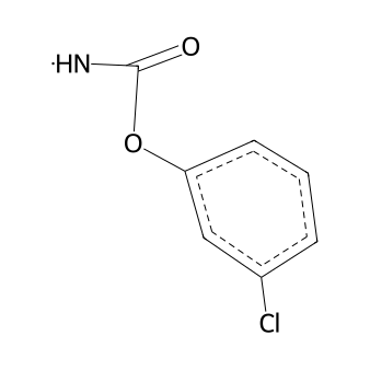 [NH]C(=O)Oc1cccc(Cl)c1